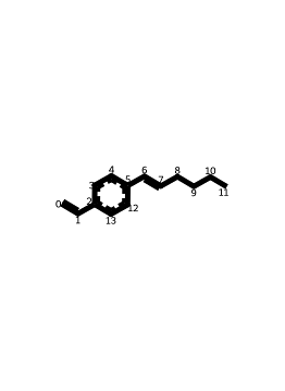 C=Cc1ccc(C=CCCCC)cc1